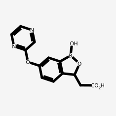 O=C(O)CC1OB(O)c2cc(Oc3cnccn3)ccc21